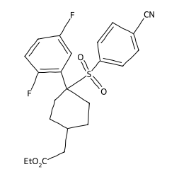 CCOC(=O)CC1CCC(c2cc(F)ccc2F)(S(=O)(=O)c2ccc(C#N)cc2)CC1